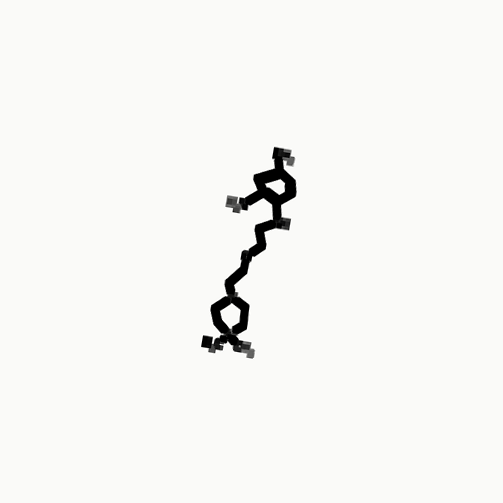 C[N+]1(C)CCN(CCOCCNc2ccc(N)cc2N)CC1